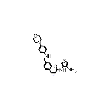 Nc1cscc1NC(=O)/C=C\c1ccc(CNc2ccc(N3CCOCC3)cc2)cc1